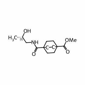 COC(=O)C12CCC(C(=O)NC[C@H](C)O)(CC1)CC2